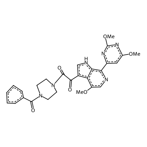 COc1cc(-c2ncc(OC)c3c(C(=O)C(=O)N4CCN(C(=O)c5ccccc5)CC4)c[nH]c23)nc(OC)n1